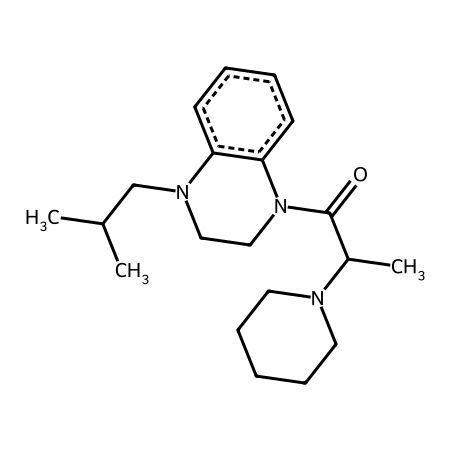 CC(C)CN1CCN(C(=O)C(C)N2CCCCC2)c2ccccc21